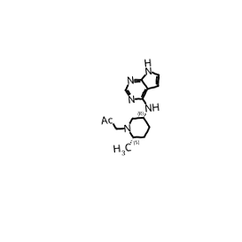 CC(=O)CN1C[C@H](Nc2ncnc3[nH]ccc23)CC[C@@H]1C